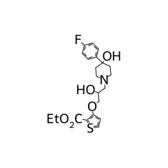 CCOC(=O)c1sccc1OCC(O)CN1CCC(O)(c2ccc(F)cc2)CC1